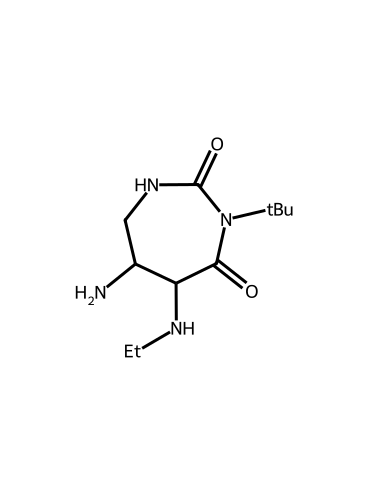 CCNC1C(=O)N(C(C)(C)C)C(=O)NCC1N